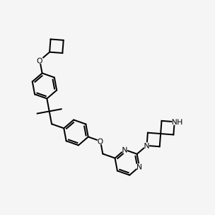 CC(C)(Cc1ccc(OCc2ccnc(N3CC4(CNC4)C3)n2)cc1)c1ccc(OC2CCC2)cc1